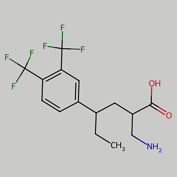 CCC(CC(CN)C(=O)O)c1ccc(C(F)(F)F)c(C(F)(F)F)c1